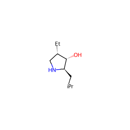 CC[C@H]1CN[C@H](CC(C)C)[C@H]1O